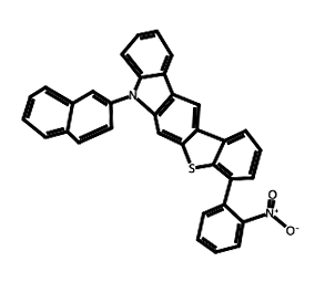 O=[N+]([O-])c1ccccc1-c1cccc2c1sc1cc3c(cc12)c1ccccc1n3-c1ccc2ccccc2c1